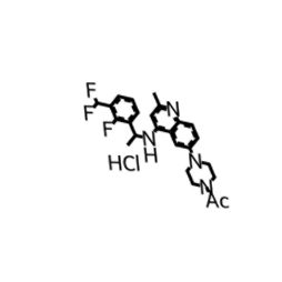 CC(=O)N1CCN(c2ccc3nc(C)cc(NC(C)c4cccc(C(F)F)c4F)c3c2)CC1.Cl